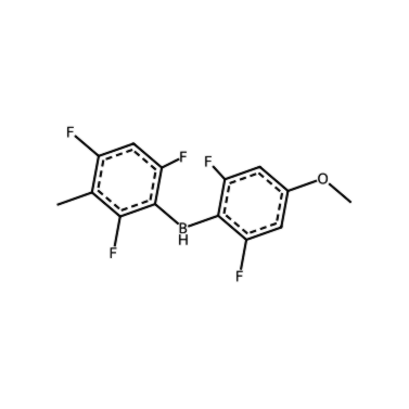 COc1cc(F)c(Bc2c(F)cc(F)c(C)c2F)c(F)c1